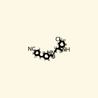 N#Cc1ccc(Cc2ccc(C(=O)NCCc3c[nH]c4ccc(Cl)cc34)cc2)cc1